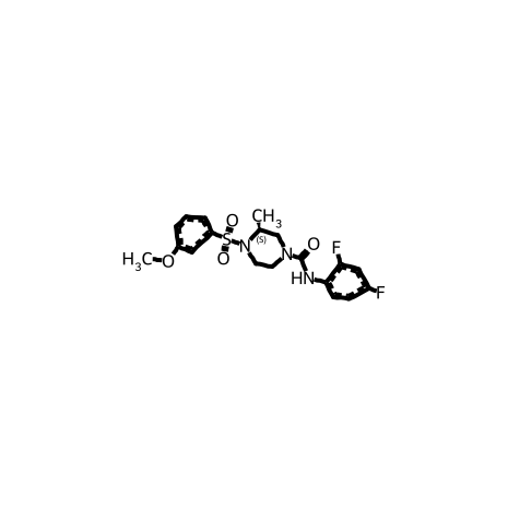 COc1cccc(S(=O)(=O)N2CCN(C(=O)Nc3ccc(F)cc3F)C[C@@H]2C)c1